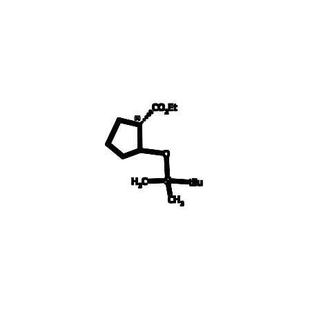 CCOC(=O)[C@H]1CCCC1O[Si](C)(C)C(C)(C)C